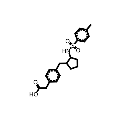 Cc1ccc(S(=O)(=O)NC2CCCC2Cc2ccc(CC(=O)O)cc2)cc1